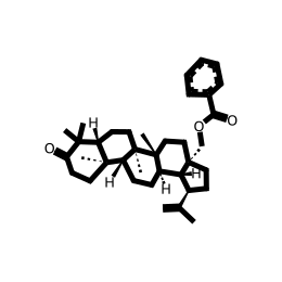 C=C(C)[C@@H]1CC[C@]2(COC(=O)c3ccccc3)CC[C@]3(C)[C@H](CC[C@@H]4[C@@]5(C)CCC(=O)C(C)(C)[C@@H]5CC[C@]43C)[C@@H]12